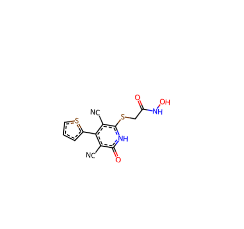 N#Cc1c(SCC(=O)NO)[nH]c(=O)c(C#N)c1-c1cccs1